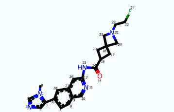 Cn1cncc1-c1ccc2cnc(NC(=O)C3CC4(C3)CN(CCF)C4)cc2c1